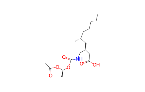 CCCCC[C@@H](C)C[C@H](CNC(=O)O[C@@H](C)OC(C)=O)CC(=O)O